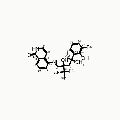 CC(C)(CC(O)(CNc1cccc2c(=O)[nH]ccc12)C(F)(F)F)c1cccc(F)c1O